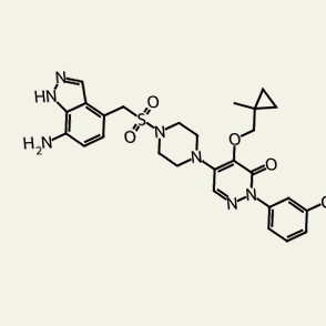 CC1(COc2c(N3CCN(S(=O)(=O)Cc4ccc(N)c5[nH]ncc45)CC3)cnn(-c3cccc(Cl)c3)c2=O)CC1